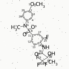 COc1ccc(N(C)S(=O)(=O)c2ccc(NC(=O)[C@@](C)(O)C(F)(F)F)c(F)c2)cc1